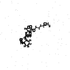 C=CCCCOC(=O)N[C@H](C=O)CNSc1ccccc1N=O